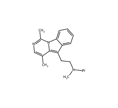 Cc1cnc(C)n2c1c(CCN(C)C(C)C)c1ccccc12